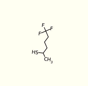 CC(S)CCCC(F)(F)F